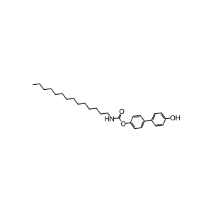 CCCCCCCCCCCCCCNC(=O)Oc1ccc(-c2ccc(O)cc2)cc1